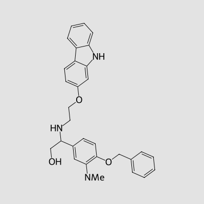 CNc1cc(C(CO)NCCOc2ccc3c(c2)[nH]c2ccccc23)ccc1OCc1ccccc1